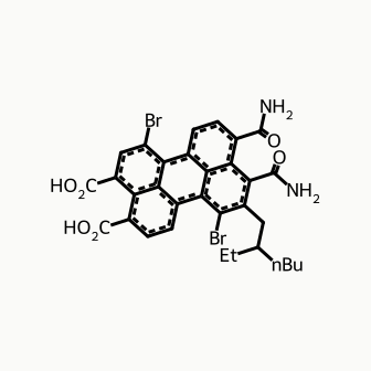 CCCCC(CC)Cc1c(C(N)=O)c2c(C(N)=O)ccc3c4c(Br)cc(C(=O)O)c5c(C(=O)O)ccc(c(c1Br)c23)c54